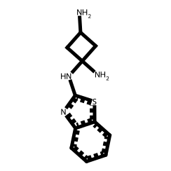 NC1CC(N)(Nc2nc3ccccc3s2)C1